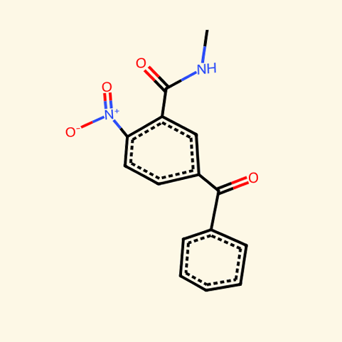 CNC(=O)c1cc(C(=O)c2ccccc2)ccc1[N+](=O)[O-]